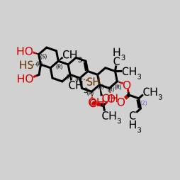 C/C=C(/C)C(=O)O[C@H]1[C@H](OC(C)=O)[C@@]2(CO)C(CC1(C)C)C1=CCC3[C@@]4(C)CC[C@H](O)[C@](S)(CO)C4CC[C@@]3(C)[C@]1(S)C[C@H]2O